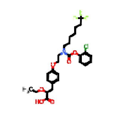 CCOC(Cc1ccc(OCCN(CCCCCCC(F)(F)F)C(=O)Oc2ccccc2Cl)cc1)C(=O)O